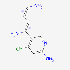 N/C=C\C=C(/N)c1cnc(N)cc1Cl